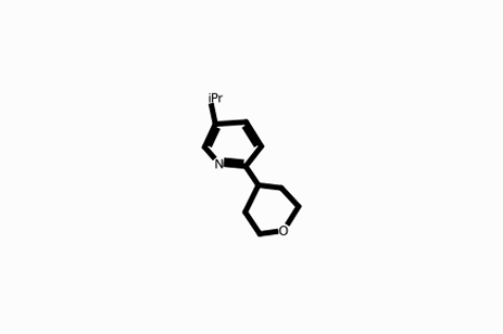 CC(C)c1ccc(C2CCOCC2)nc1